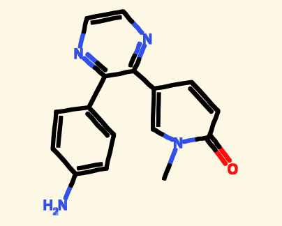 Cn1cc(-c2nccnc2-c2ccc(N)cc2)ccc1=O